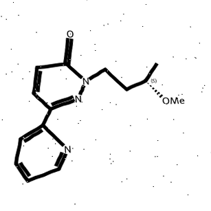 CO[C@@H](C)CCn1nc(-c2ccccn2)ccc1=O